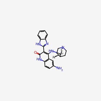 Nc1ccc2[nH]c(=O)c(-c3nc4ccccc4[nH]3)c(N[C@@H]3CN4CCC3CC4)c2c1